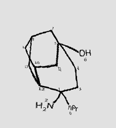 CCCC1(N)CCC2(O)CC3CC(C2)C1C3